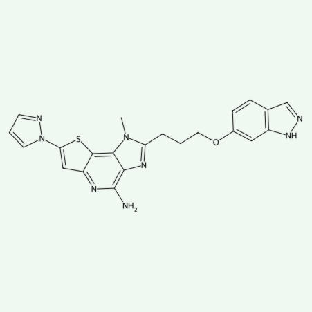 Cn1c(CCCOc2ccc3cn[nH]c3c2)nc2c(N)nc3cc(-n4cccn4)sc3c21